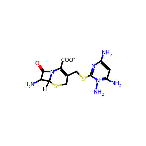 Nc1cc(N)[n+](N)c(SCC2=C(C(=O)[O-])N3C(=O)C(N)[C@H]3SC2)n1